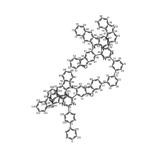 c1ccc(-c2ccc(-c3nc(-c4cc5oc6cc(-c7cccc(-c8cccc(-c9nc(-c%10ccc%11sc%12ccccc%12c%11c%10)nc(-c%10cc%11oc%12ccccc%12c%11cc%10-n%10c%11ccccc%11c%11cc%12ccccc%12cc%11%10)n9)c8)c7)ccc6c5cc4-n4c5ccccc5c5cc6ccccc6cc54)nc(-c4cccc5c4sc4ccccc45)n3)cc2)cc1